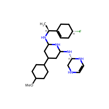 COC1CCC(C2CC(N[C@H]3CNC=CN3)NC(N[C@@H](C)C3=CC[C@@H](F)CC3)C2)CC1